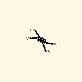 CCCCCCCCCCCCC(CCCCCCCCCC)CC1=c2c(c(CC(CCCCCCCCCC)CCCCCCCCCCCC)c3cccn3c2=O)C(=O)CC2CCC=CC=C12